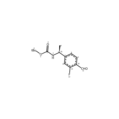 C[C@H](NC(=O)OC(C)(C)C)c1ccc(C=O)c(F)c1